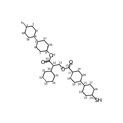 CC1CCC(C2CCC(OC(=O)C(COC(=O)C3CCC(C4CCC(S)CC4)CC3)C3CCCCC3)CC2)CC1